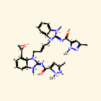 CCn1nc(C)cc1C(=O)/N=c1\n(C)c2ccccc2n1C/C=C/Cn1/c(=N/C(=O)c2cc(C)nn2CC)n(C)c2cccc(C3CO3)c21